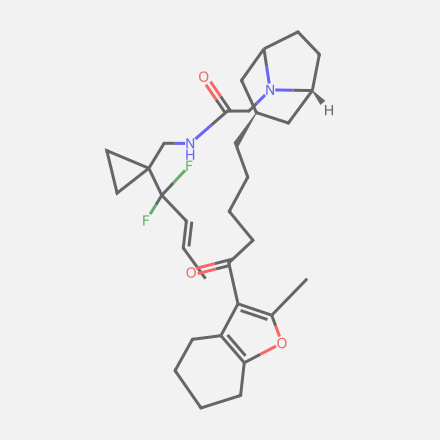 C/C=C/C(F)(F)C1(CNC(=O)CN2C3CC[C@@H]2C[C@@H](CCCCC(=O)c2c(C)oc4c2CCCC4)C3)CC1